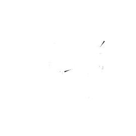 C[C@@H]1C[C@H](NC(=O)O)C(=O)N1